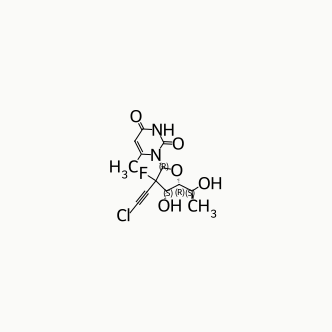 Cc1cc(=O)[nH]c(=O)n1[C@@H]1O[C@H]([C@H](C)O)[C@H](O)C1(F)C#CCl